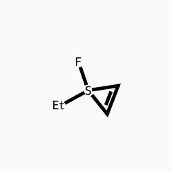 CCS1(F)C=C1